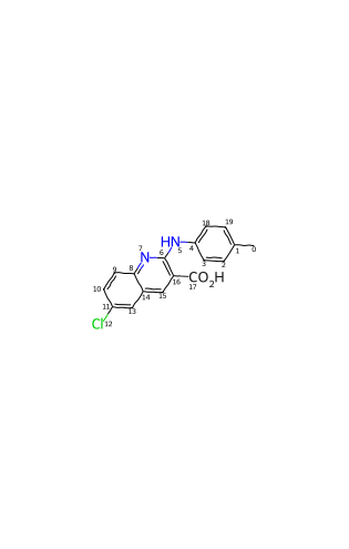 Cc1ccc(Nc2nc3ccc(Cl)cc3cc2C(=O)O)cc1